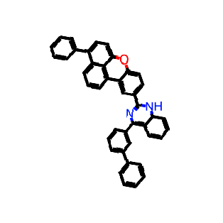 C1=CC2=C(c3cccc(-c4ccccc4)c3)N=C(c3ccc4c(c3)-c3cccc5c(-c6ccccc6)ccc(c35)O4)NC2C=C1